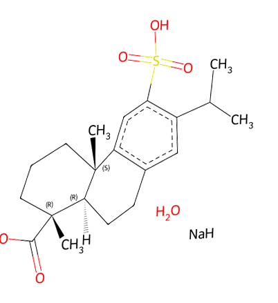 CC(C)c1cc2c(cc1S(=O)(=O)O)[C@@]1(C)CCC[C@@](C)(C(=O)O)[C@@H]1CC2.O.[NaH]